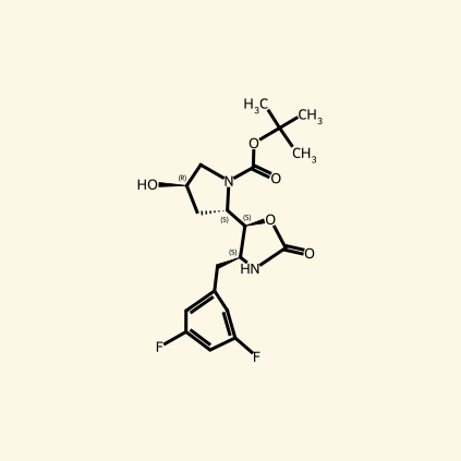 CC(C)(C)OC(=O)N1C[C@H](O)C[C@H]1[C@H]1OC(=O)N[C@H]1Cc1cc(F)cc(F)c1